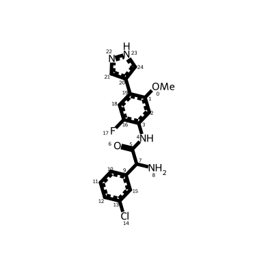 COc1cc(NC(=O)C(N)c2cccc(Cl)c2)c(F)cc1-c1cn[nH]c1